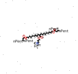 CCCCCC(CCCCC)CC(=O)OCCCCCCCCCC(CCCCCCCCCOC(=O)CC(CCCCC)CCCCC)C(=O)OCCCN(C)C(C)C